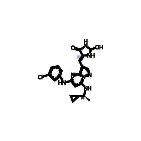 C[C@@H](Nc1cc(Nc2cccc(Cl)c2)nc2c(/C=C3\NC(O)NC3=O)cnn12)C1CC1